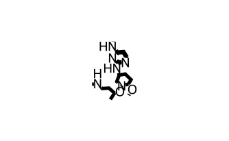 CNCCC(C)ON1CC(Nc2nccc(NC)n2)CCC1OC